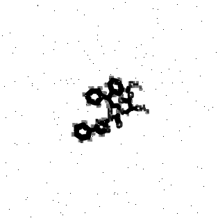 CCOC(=O)C(C)CN(CCC(c1ccccc1)c1ccccc1)C(=O)Nc1nc(-c2ccccc2)cs1